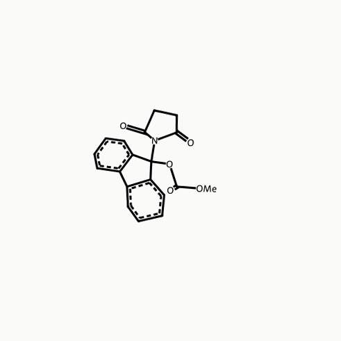 COC(=O)OC1(N2C(=O)CCC2=O)c2ccccc2-c2ccccc21